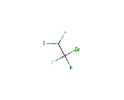 FC(F)C(F)(F)Br